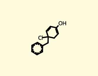 OC1=CCC(Cl)(Cc2ccccc2)C=C1